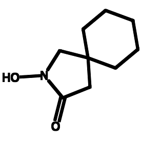 O=C1CC2(CCCCC2)CN1O